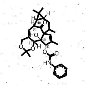 CC1=CC23C(=O)[C@@H](C=C4COC(C)(C)O[C@H]4[C@]2(O)[C@H]1OC(=O)Nc1ccccc1)[C@H]1[C@@H](CC3C)C1(C)C